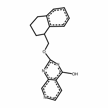 Oc1nc(OCC2CCCc3ccccc32)nc2cnccc12